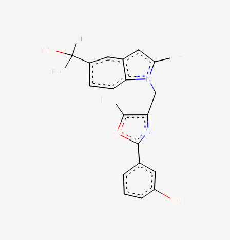 Cc1oc(-c2cccc(O)c2)nc1Cn1c(C)cc2cc(C(O)(C(F)(F)F)C(F)(F)F)ccc21